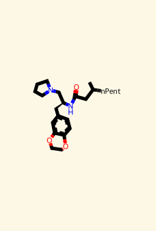 CCCCCC(C)CC(=O)N[C@@H](Cc1ccc2c(c1)OCCO2)CN1CCCC1